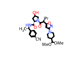 COC(OC)C1CCN(c2cc(C(C(=O)N3CC(O)C[C@H]3C(=O)N[C@@H](C)c3ccc(C#N)cc3)C(C)C)on2)CC1